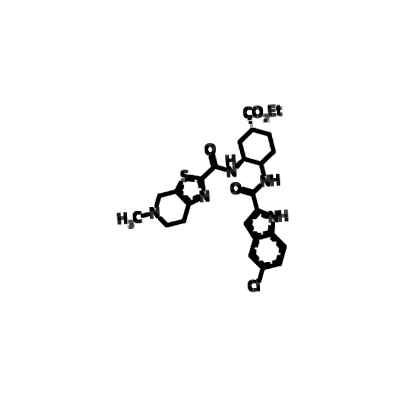 CCOC(=O)[C@@H]1CCC(NC(=O)c2cc3cc(Cl)ccc3[nH]2)[C@@H](NC(=O)c2nc3c(s2)CN(C)CC3)C1